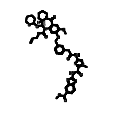 C=CCOC(=O)N1c2cc(OCc3cccc(CC(=O)Nc4cn(C)c(C(=O)Nc5nc6cc(C(=O)OC)ccc6s5)n4)c3)c(OC)cc2C(=O)N2CCCC[C@H]2[C@@H]1OC1CCCCO1